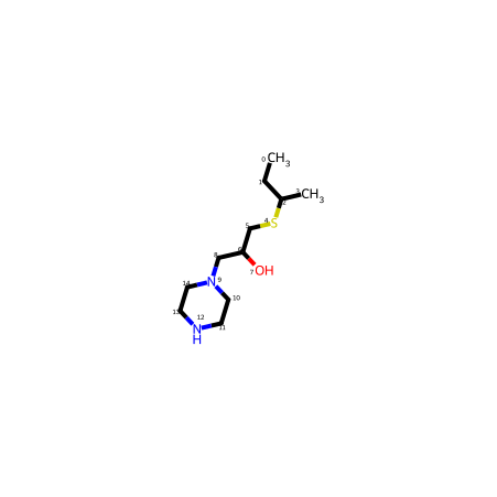 CCC(C)SCC(O)CN1CCNCC1